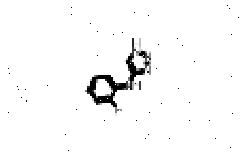 Fc1ccccc1Nc1c[nH]nn1